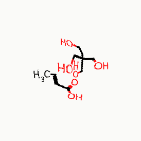 CC=CC(=O)O.OCC(CO)(CO)CO